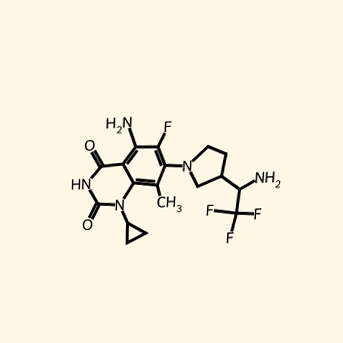 Cc1c(N2CCC(C(N)C(F)(F)F)C2)c(F)c(N)c2c(=O)[nH]c(=O)n(C3CC3)c12